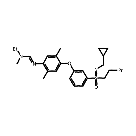 CCN(C)C=Nc1cc(C)c(Oc2cccc(S(=O)(CCC(C)C)=NCC3CC3)c2)cc1C